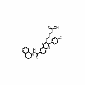 O=C(O)CCCCc1nc2cc(C(=O)N[C@H]3CCCc4ccccc43)ccc2nc1-c1ccc(Cl)cc1